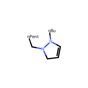 CCCCCCN1CC=CN1CCCC